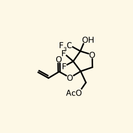 C=CC(=O)OC1(COC(C)=O)COC(O)(C(F)(F)F)C1(F)F